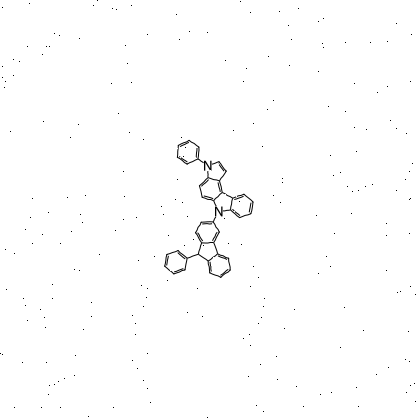 c1ccc(C2c3ccccc3-c3cc(-n4c5ccccc5c5c6ccn(-c7ccccc7)c6ccc54)ccc32)cc1